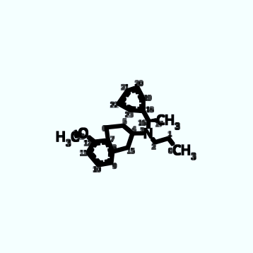 CCCN(C1CCc2c(cccc2OC)C1)[C@H](C)c1ccccc1